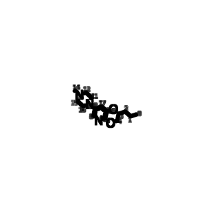 CCCC1COc2ncc(N3CCN(C)CC3)cc2O1